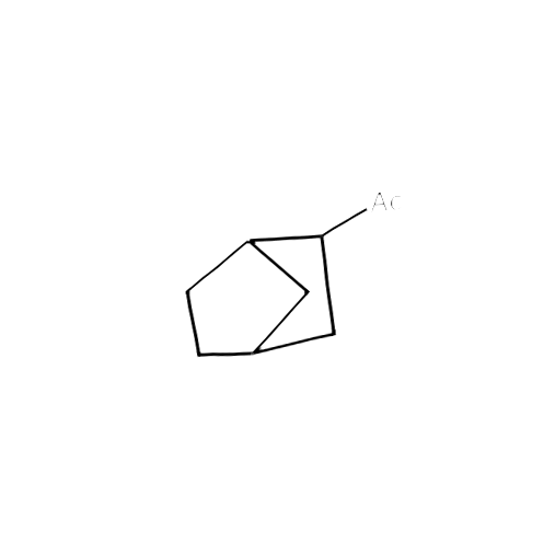 CC(=O)C1CC2CCC1C2